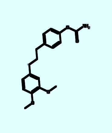 COc1ccc([CH]CCc2ccc(OC(N)=O)cc2)cc1OC